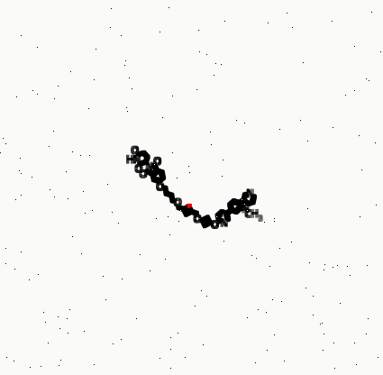 Cn1c2ccncc2c2ccc(-c3ccc(OC4CC(OCC56CC(COCCCCOc7ccc8c(c7)C(=O)N(C7CCC(=O)NC7=O)C8=O)(C5)C6)C4)nc3)cc21